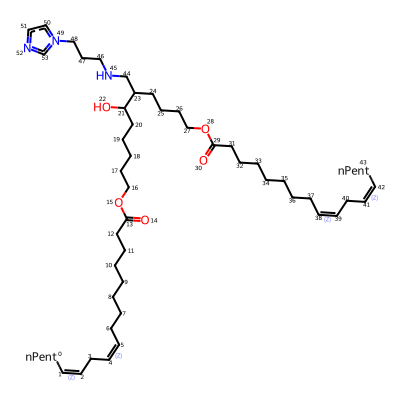 CCCCC/C=C\C/C=C\CCCCCCCC(=O)OCCCCCC(O)C(CCCCOC(=O)CCCCCCC/C=C\C/C=C\CCCCC)CNCCCn1ccnc1